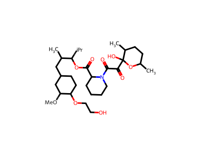 COC1CC(CC(C)C(OC(=O)C2CCCCN2C(=O)C(=O)C2(O)OC(C)CCC2C)C(C)C)CCC1OCCO